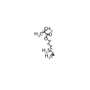 C=C(C)C(=O)OCCC[SiH2]SC